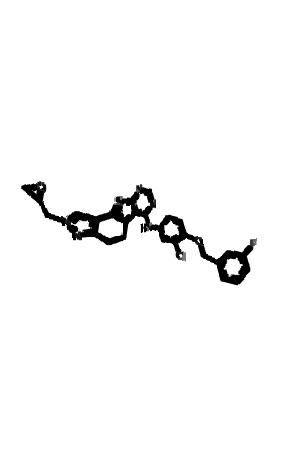 Fc1cccc(COc2ccc(Nc3ncnc4sc5c(c34)CCc3nn(C[C@H]4CO4)cc3-5)cc2Cl)c1